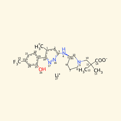 Cc1cc(N[C@@H]2CCCN(CC(C)(C)C(=O)[O-])C2)nnc1-c1ccc(C(F)(F)F)cc1O.[Li+]